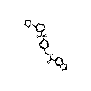 O=C(NCc1ccc(S(=O)(=O)c2cccc(N3CCCC3)c2)cc1)c1ccc2ncoc2c1